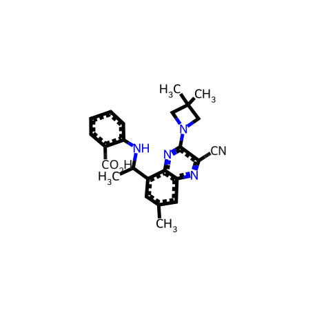 Cc1cc(C(C)Nc2ccccc2C(=O)O)c2nc(N3CC(C)(C)C3)c(C#N)nc2c1